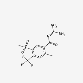 Cc1cc(C(F)(F)F)c(S(C)(=O)=O)cc1C(=O)N=C(N)N